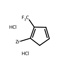 Cl.Cl.FC(F)(F)C1=[C]([Zr])CC=C1